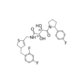 O=C(NCC1=CC(Cc2ccc(F)cc2F)CS1)[C@H](O)[C@@H](O)C(=O)N1CCCC1c1ccc(F)cc1